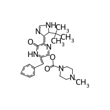 CN1CCN(C(=O)Oc2n/c(=C3/N=CNC3C(C)(C)C)c(=O)[nH]/c2=C\c2ccccc2)CC1